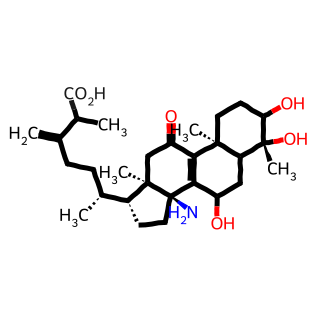 C=C(CC[C@@H](C)[C@H]1CC[C@@]2(N)C3=C(C(=O)C[C@]12C)[C@@]1(C)CCC(O)[C@](C)(O)C1CC3O)C(C)C(=O)O